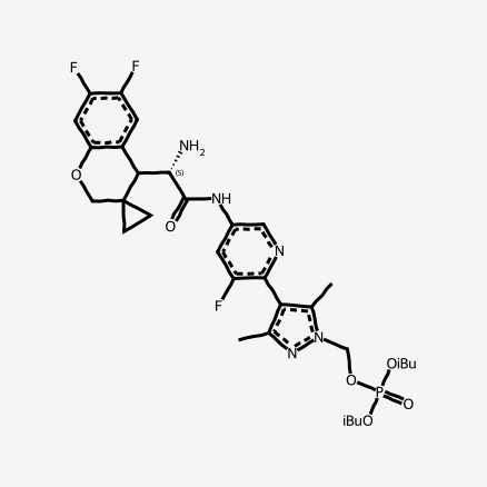 Cc1nn(COP(=O)(OCC(C)C)OCC(C)C)c(C)c1-c1ncc(NC(=O)[C@@H](N)C2c3cc(F)c(F)cc3OCC23CC3)cc1F